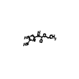 CCOC(=O)Nc1c[nH]c(S)n1